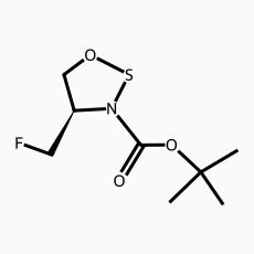 CC(C)(C)OC(=O)N1SOC[C@@H]1CF